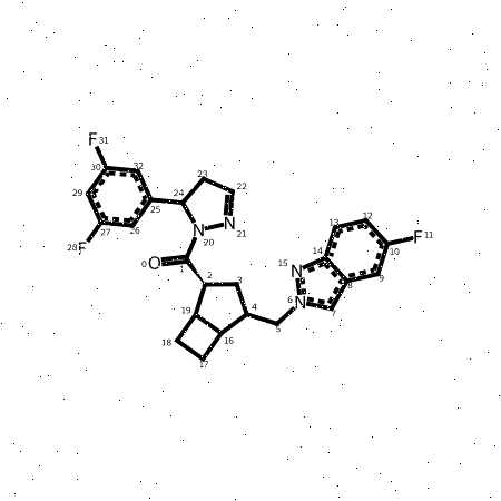 O=C([C@H]1CC(Cn2cc3cc(F)ccc3n2)C2CCC21)N1N=CCC1c1cc(F)cc(F)c1